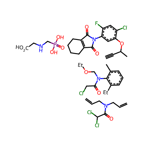 C#CC(C)Oc1cc(N2C(=O)C3=C(CCCC3)C2=O)c(F)cc1Cl.C=CCN(CC=C)C(=O)C(Cl)Cl.CCOCN(C(=O)CCl)c1c(C)cccc1CC.O=C(O)CNCP(=O)(O)O